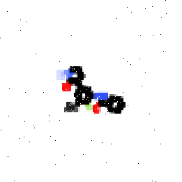 CC(C)(C)c1cc(-c2ccc[nH]c2=O)cc(NC(=O)c2ccccc2)c1F